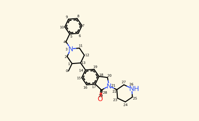 CC1CN(Cc2ccccc2)CCC1c1ccc2c(c1)CN(C1CCCNC1)C2=O